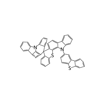 c1ccc2c(c1)Sc1c(ccc3c4ccccc4n(-c4ccc5sc6ccccc6c5c4)c13)C21c2ccccc2-n2c3ccccc3c3cccc1c32